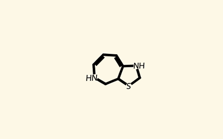 C1=CNCC2SCNC2=C1